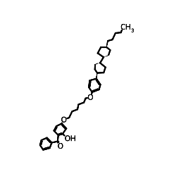 CCCCC[C@H]1CC[C@H]([C@H]2CC[C@H](c3ccc(OCCCCCCOc4ccc(C(=O)c5ccccc5)c(O)c4)cc3)CC2)CC1